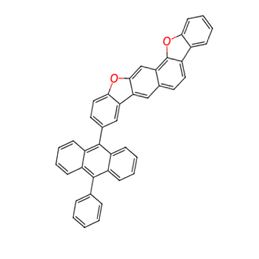 c1ccc(-c2c3ccccc3c(-c3ccc4oc5cc6c(ccc7c8ccccc8oc67)cc5c4c3)c3ccccc23)cc1